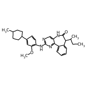 CCC(C)C1C(=O)Nc2cnc(Nc3ccc(C4CCC(C)CC4)cc3OC)nc2-c2ccccc21